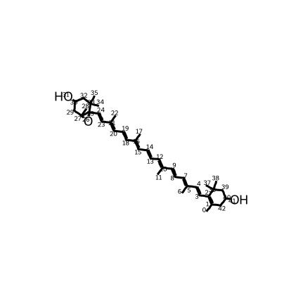 CC1=C(/C=C/C(C)=C/C=C/C(C)=C/C=C/C=C(C)/C=C/C=C(C)/C=C/C23OC2(C)CC(O)CC3(C)C)C(C)(C)CC(O)C1